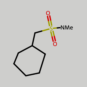 [CH2]NS(=O)(=O)CC1CCCCC1